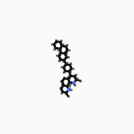 Cc1ccc2ccc3c(-c4ccc(-c5ccc6c(ccc7ccccc76)c5)cc4)cc(C)nc3c2n1